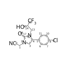 N#CCn1cc(-c2ccc(Cl)cc2)n(CC(O)C(F)(F)F)c1=O